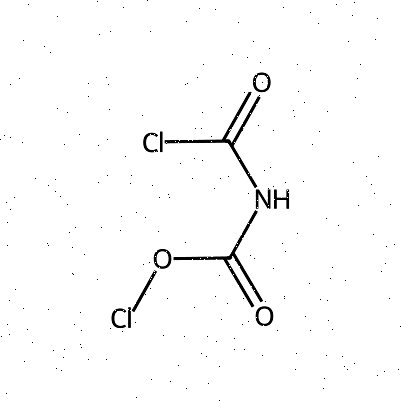 O=C(Cl)NC(=O)OCl